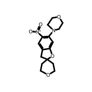 O=[N+]([O-])c1cc2c(cc1N1CCOCC1)OC1(CCOCC1)C2